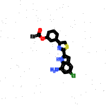 CCC(=O)OC1CCCC(C2CSC(c3cc4cc(Cl)cc(N)c4[nH]3)=N2)C1